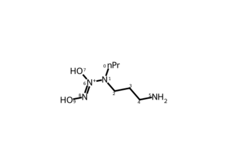 CCCN(CCCN)/[N+](O)=N/O